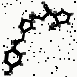 N#Cc1ccc(NC[C@H]2C=C[C@@H](NCC(=O)N3CCC[C@H]3C#N)C2)nc1